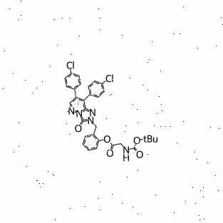 CC(C)(C)OC(=O)NCC(=O)Oc1ccccc1Cn1nc2c(-c3ccc(Cl)cc3)c(-c3ccc(Cl)cc3)cnn2c1=O